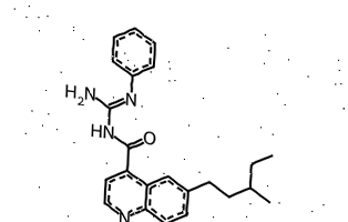 CCC(C)CCc1ccc2nccc(C(=O)NC(N)=Nc3ccccc3)c2c1